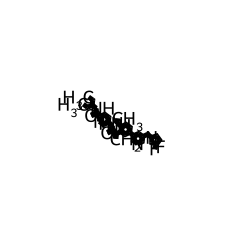 C=C(C(=O)Nc1ccc(C(=O)NC(CC)CC)nc1)c1cc(-c2cncc(CN3CCC(F)(F)C3)c2)ccc1NC